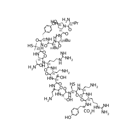 CC[C@H](C)[C@H](NC(=O)[C@@H](NC(=O)[C@@H]1C[C@@H](O)CN1C(=O)[C@@H](N)C(C)C)[C@@H](C)CC)C(=O)N[C@@H](Cc1ccc(O)cc1)C(=O)N[C@H](C(=O)N[C@@H](CC(N)=O)C(=O)N[C@@H](CCCNC(=N)N)C(=O)N[C@@H](CCN)C(=O)N[C@H](C(=O)N[C@H](CCN)C(=O)N[C@@H](CO)C(=O)N[C@@H](CS)C(=O)N[C@@H](CCN)C(=O)N[C@@H](CCCNC(=N)N)C(=O)N[C@@H](Cc1ccc(O)cc1)C(=O)O)[C@@H](C)O)C(C)(C)S